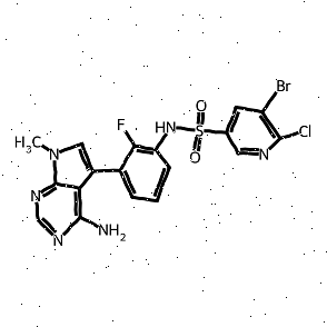 Cn1cc(-c2cccc(NS(=O)(=O)c3cnc(Cl)c(Br)c3)c2F)c2c(N)ncnc21